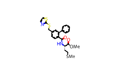 COC(=O)[C@H](CCSC)NC(=O)c1ccc(CSc2nccs2)cc1-c1ccccc1